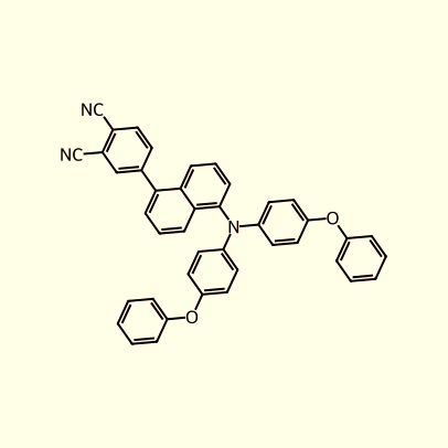 N#Cc1ccc(-c2cccc3c(N(c4ccc(Oc5ccccc5)cc4)c4ccc(Oc5ccccc5)cc4)cccc23)cc1C#N